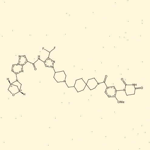 COc1ccc(C(=O)N2CCC3(CCC(CN4CCC(n5cc(NC(=O)c6cnn7ccc(N8C[C@H]9C[C@@H]8CO9)nc67)c(C(F)F)n5)CC4)CC3)CC2)cc1N1CCC(=O)NC1=O